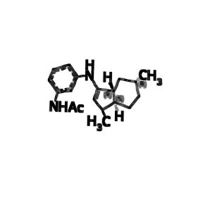 CC(=O)Nc1cccc(NC2=CC(C)[C@@H]3CC[C@@H](C)C[C@@H]23)c1